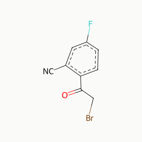 N#Cc1cc(F)ccc1C(=O)CBr